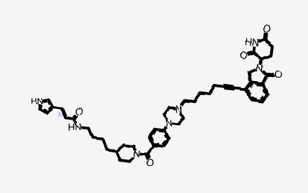 O=C(/C=C/c1cc[nH]c1)NCCCCC1CCN(C(=O)c2ccc(N3CCN(CCCCCC#Cc4cccc5c4CN(C4CCC(=O)NC4=O)C5=O)CC3)cc2)CC1